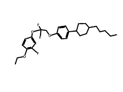 CCCCCC1CCC(c2ccc(OCC(F)(F)Oc3ccc(OCC)c(F)c3)cc2)CC1